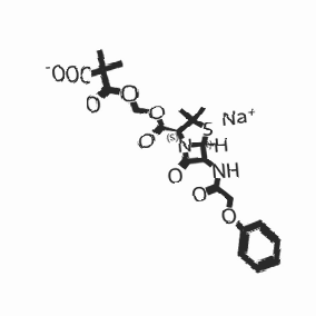 CC(C)(C(=O)[O-])C(=O)OCOC(=O)[C@@H]1N2C(=O)C(NC(=O)COc3ccccc3)[C@H]2SC1(C)C.[Na+]